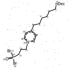 CCCCCCCCCCCCCCCCc1cc[n+](CCCP(=O)(Br)Br)cc1